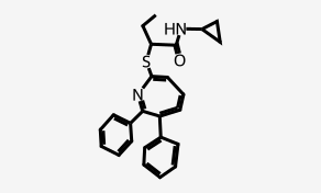 CCC(SC1=CC=C=C(c2ccccc2)C(c2ccccc2)=N1)C(=O)NC1CC1